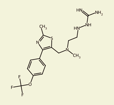 Cc1nc(-c2ccc(OC(F)(F)F)cc2)c(CN(C)CCNNC(=N)N)s1